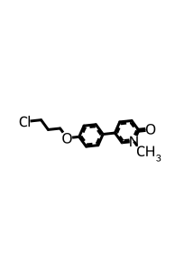 Cn1cc(-c2ccc(OCCCCl)cc2)ccc1=O